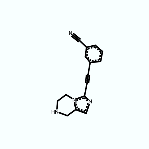 N#Cc1cccc(C#Cc2ncc3n2CCNC3)c1